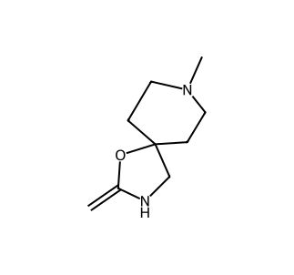 C=C1NCC2(CCN(C)CC2)O1